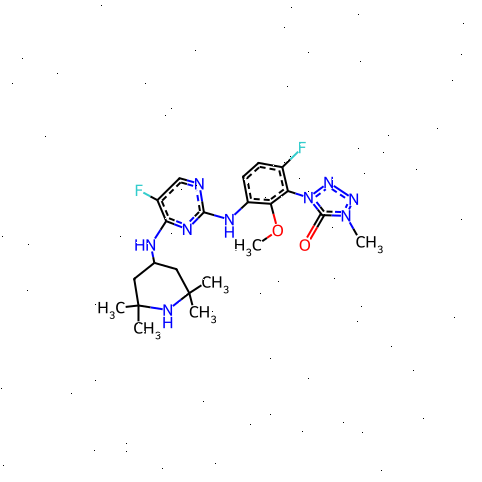 COc1c(Nc2ncc(F)c(NC3CC(C)(C)NC(C)(C)C3)n2)ccc(F)c1-n1nnn(C)c1=O